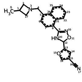 CC1CN(Cc2ccc(C3=NOC(c4cc(C#N)co4)N3)c3ccccc23)C1